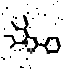 C=C/C(OC)=C(\N=C(/N)c1ccccn1)NC(C)CC